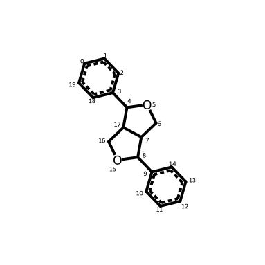 c1ccc(C2OCC3C(c4ccccc4)OCC23)cc1